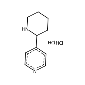 Cl.Cl.c1cc(C2CCCCN2)ccn1